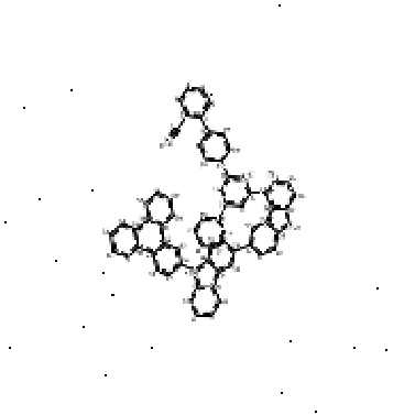 N#Cc1ccccc1-c1ccc(-c2cc(-c3ccccc3)cc(-c3nccc4sc5ccc(-c6ccc7c(c6)c6ccccc6n7-c6ccc7c8ccccc8c8ccccc8c7c6)cc5c34)n2)cc1